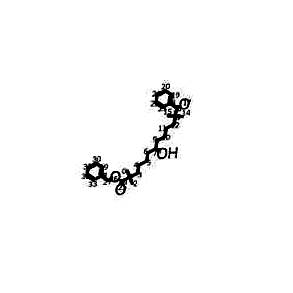 CC(C)(CCCCC(O)CCCCC(C)(C)C(=O)c1ccccc1)C(=O)OCc1ccccc1